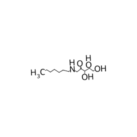 CCCCCCCNCC(=O)C(O)C(O)CO